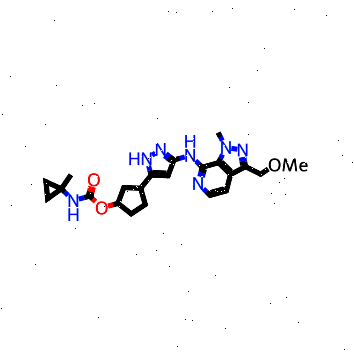 COCc1nn(C)c2c(Nc3cc(C4CCC(OC(=O)NC5(C)CC5)C4)[nH]n3)nccc12